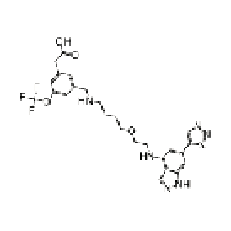 O=C(O)Cc1cc(CNCCCCOCCNc2cc(-c3cnns3)cc3[nH]ncc23)cc(OC(F)(F)F)c1